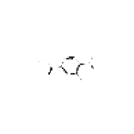 COC(=O)c1ccc([N+](=O)[O-])c(C)c1